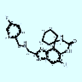 O=C1Nc2c(Cl)cc3nc(CNCc4ccc(F)cn4)oc3c2C2(CCCCC2)N1